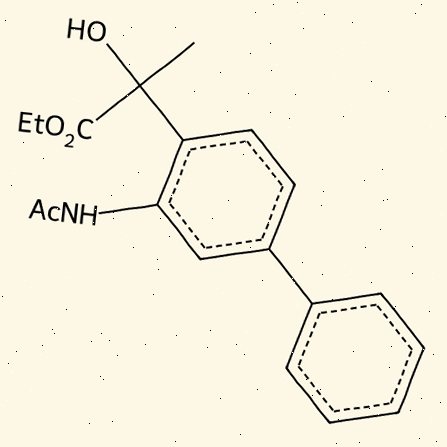 CCOC(=O)C(C)(O)c1ccc(-c2ccccc2)cc1NC(C)=O